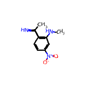 CNc1cc([N+](=O)[O-])ccc1C(C)=N